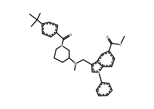 COC(=O)c1ccc2c(c1)c(CN(C)C1CCCN(C(=O)c3ccc(C(C)(C)C)cc3)C1)cn2-c1ccccc1